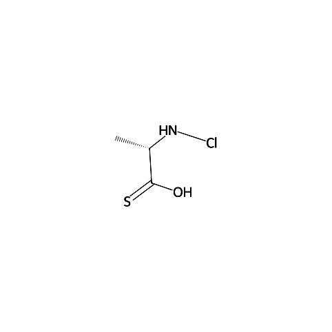 C[C@H](NCl)C(O)=S